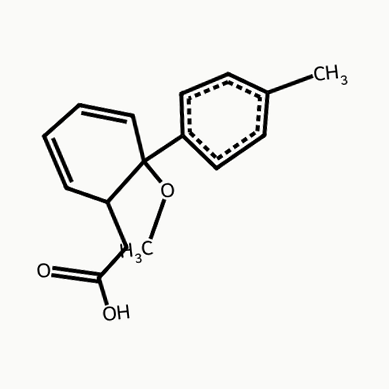 COC1(c2ccc(C)cc2)C=CC=CC1CC(=O)O